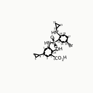 O=C(O)c1cc(C2CC2)cc(NS(=O)(=O)c2cc(Br)ccc2NC2CC2)c1O